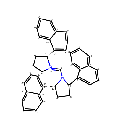 C(/N1C(c2cccc3ccccc23)CC[C@@H]1c1cccc2ccccc12)=[N+]1/CCC[C@@H]1c1cccc2ccccc12